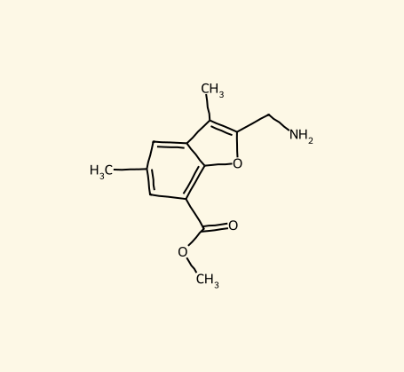 COC(=O)c1cc(C)cc2c(C)c(CN)oc12